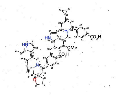 CC#Cc1cc(C)c2[nH]ccc2c1CN1CCC2(CCCO2)C[C@H]1c1ccc(C(=O)O)c(Cc2cc(OC)c(CN3CC=C(C4CC4)C[C@H]3c3ccc(C(=O)O)cc3)c3cc[nH]c23)c1